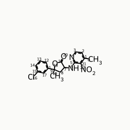 Cc1ccnc(NC2CC(C)(c3cccc(Cl)c3)OC2=O)c1[N+](=O)[O-]